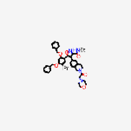 CCNC(=O)c1noc(-c2cc(C(C)C)c(OCc3ccccc3)cc2OCc2ccccc2)c1-c1ccc2c(c1)CCN(C(=O)CN1CCOCC1)C2